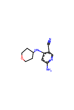 N#Cc1cnc(N)cc1NC1CCOCC1